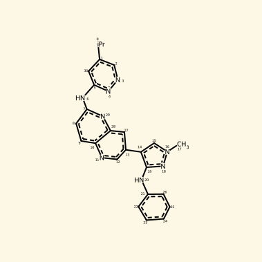 CC(C)c1cnnc(Nc2ccc3ncc(-c4cn(C)nc4Nc4ccccc4)cc3n2)c1